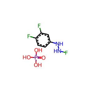 FNNc1ccc(F)c(F)c1.O=P(O)(O)O